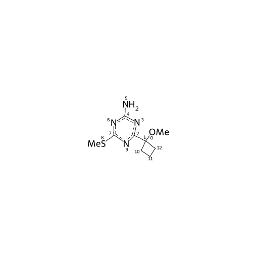 COC1(c2nc(N)nc(SC)n2)CCC1